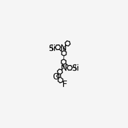 C[Si](C)(C)c1ccc2c(c1)c1cc(-c3ccc4c(c3)c3cc([Si](C)(C)C)ccc3n4-c3ccc4oc5ccc(F)cc5c4c3)ccc1n2-c1ccccc1